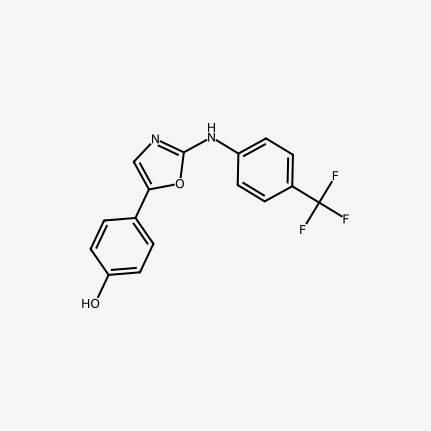 Oc1ccc(-c2cnc(Nc3ccc(C(F)(F)F)cc3)o2)cc1